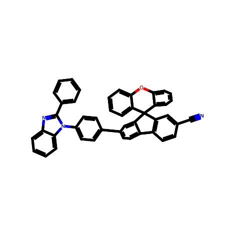 N#Cc1ccc2c(c1)C1(c3ccccc3Oc3ccccc31)c1cc(-c3ccc(-n4c(-c5ccccc5)nc5ccccc54)cc3)ccc1-2